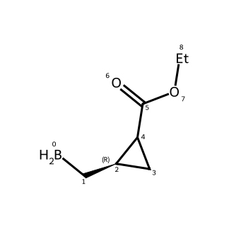 BC[C@@H]1CC1C(=O)OCC